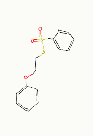 O=S(=O)(SCCOc1ccccc1)c1ccccc1